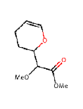 COC(=O)C(OC)C1CCC=CO1